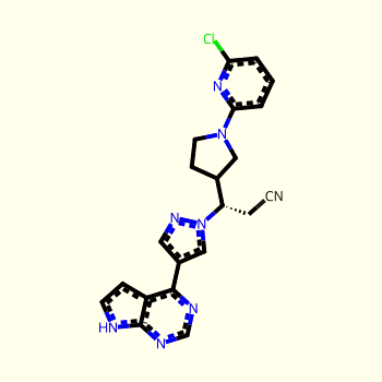 N#CC[C@@H](C1CCN(c2cccc(Cl)n2)C1)n1cc(-c2ncnc3[nH]ccc23)cn1